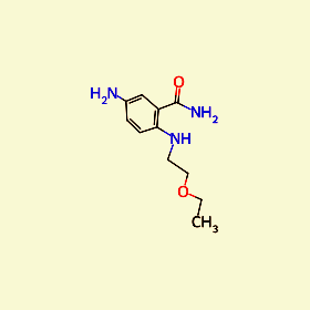 CCOCCNc1ccc(N)cc1C(N)=O